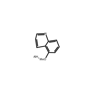 COc1cccc2ncccc12.[AlH3]